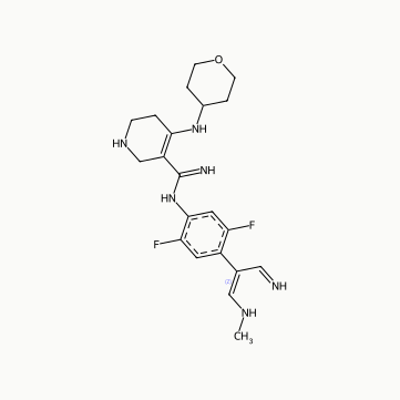 CN/C=C(\C=N)c1cc(F)c(NC(=N)C2=C(NC3CCOCC3)CCNC2)cc1F